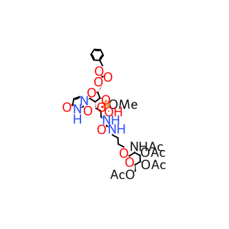 COP(=O)(O)OC1[C@@H](COC(=O)OCc2ccccc2)O[C@@H](n2ccc(=O)[nH]c2=O)[C@H]1CCCNC(=O)NCCCCO[C@@H]1O[C@H](COC(C)=O)[C@H](OC(C)=O)[C@H](OC(C)=O)[C@H]1NC(C)=O